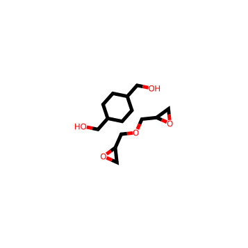 C(OCC1CO1)C1CO1.OCC1CCC(CO)CC1